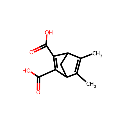 CC1=C(C)C2CC1C(C(=O)O)=C2C(=O)O